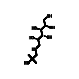 CC(C)(O)CNC[C@H](O)[C@@H](O)[C@H](O)[C@H](O)CO